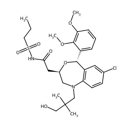 CCCS(=O)(=O)NC(=O)C[C@@H]1CN(CC(C)(C)CO)c2ccc(Cl)cc2[C@@H](c2cccc(OC)c2OC)O1